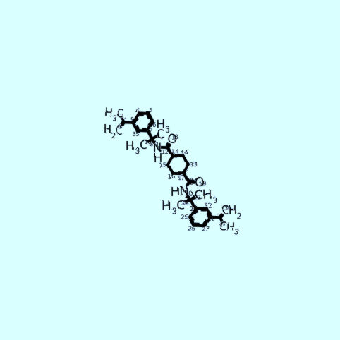 C=C(C)c1cccc(C(C)(C)NC(=O)C2CCC(C(=O)NC(C)(C)c3cccc(C(=C)C)c3)CC2)c1